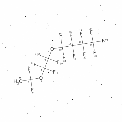 CC(F)(F)OC(F)(F)C(F)(F)OC(F)(F)C(F)(F)C(F)(F)C(F)(F)F